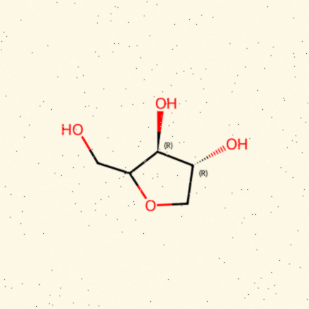 OC[C]1OC[C@@H](O)[C@@H]1O